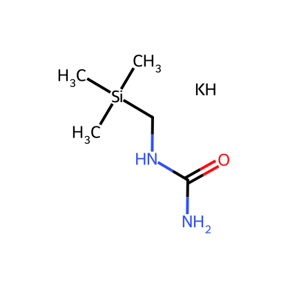 C[Si](C)(C)CNC(N)=O.[KH]